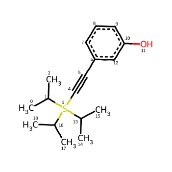 CC(C)S(C#Cc1cccc(O)c1)(C(C)C)C(C)C